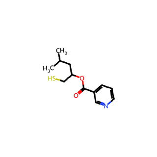 CC(C)CC(CS)OC(=O)c1cccnc1